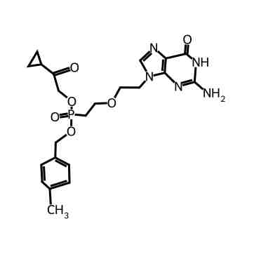 Cc1ccc(COP(=O)(CCOCCn2cnc3c(=O)[nH]c(N)nc32)OCC(=O)C2CC2)cc1